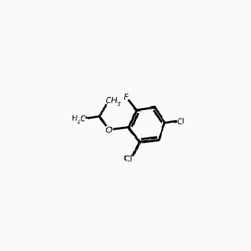 CC(C)Oc1c(F)cc(Cl)cc1Cl